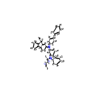 C/C=C\C=C(/C)n1c2ccccc2c2ccc(N(c3ccc(-c4ccccc4)cc3)c3ccc4c(c3)C(C)(C)c3ccccc3-4)cc21